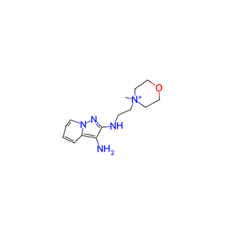 C[N+]1(CCNc2nn3ccccc3c2N)CCOCC1